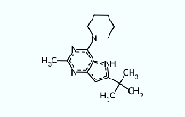 Cc1nc(N2CCCCC2)c2[nH]c(C(C)(C)C)cc2n1